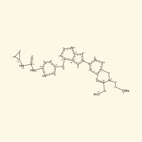 COCCN(Cc1ccc(-c2cc3nccc(Oc4ccc(NC(=O)NC5CC5)nc4)c3s2)nc1)C(=O)COC(C)=O